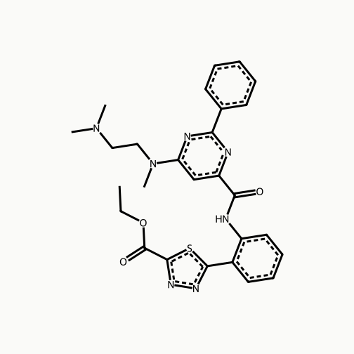 CCOC(=O)c1nnc(-c2ccccc2NC(=O)c2cc(N(C)CCN(C)C)nc(-c3ccccc3)n2)s1